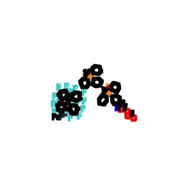 CC#N.CC(=O)[O-].CC(=O)[O-].CC(C)(C)[PH](C1CCCCC1)(C1CCCCC1)C1CCCCC1.CC(C)(C)[PH](C1CCCCC1)(C1CCCCC1)C1CCCCC1.Fc1c(F)c(F)c([B-](c2c(F)c(F)c(F)c(F)c2F)(c2c(F)c(F)c(F)c(F)c2F)c2c(F)c(F)c(F)c(F)c2F)c(F)c1F.[Pd+2]